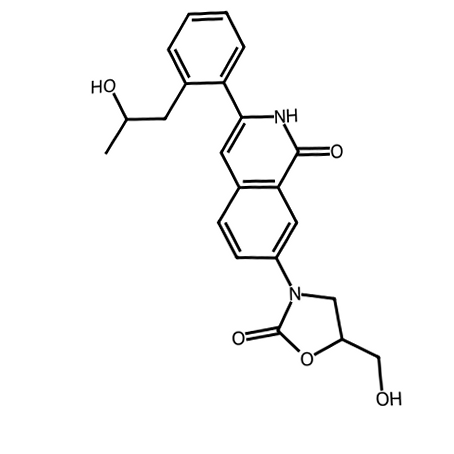 CC(O)Cc1ccccc1-c1cc2ccc(N3CC(CO)OC3=O)cc2c(=O)[nH]1